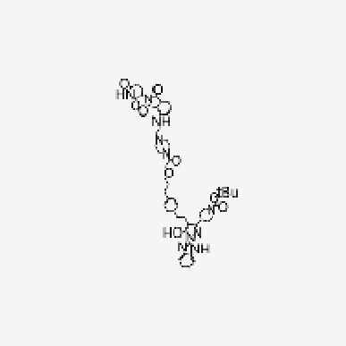 CC(C)(C)OC(=O)N1CCC(c2nn(-c3nc4ccccc4[nH]3)c(O)c2CCc2ccc(CCCOCC(=O)N3CCN(CCNc4cccc5c4C(=O)N(C4CCC(=O)NC4=O)C5=O)CC3)cc2)CC1